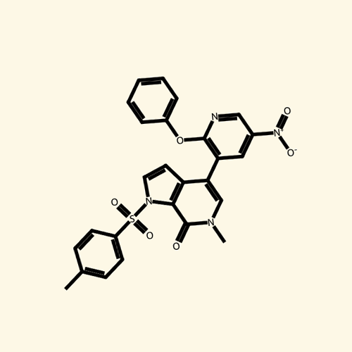 Cc1ccc(S(=O)(=O)n2ccc3c(-c4cc([N+](=O)[O-])cnc4Oc4ccccc4)cn(C)c(=O)c32)cc1